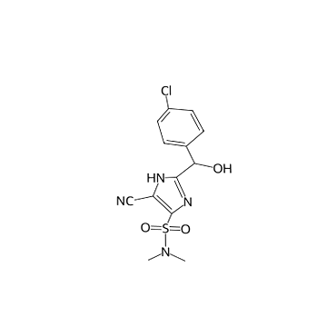 CN(C)S(=O)(=O)c1nc(C(O)c2ccc(Cl)cc2)[nH]c1C#N